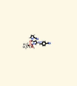 CC(C)(C)OC(=O)N1C[C@@H](NCc2ccc(C#N)cc2)C[C@H]1C(=O)N1CCCC1C#N